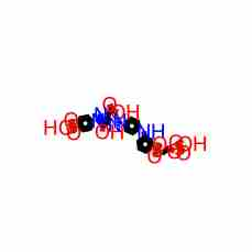 O=C(O)c1nn(-c2ccc(S(=O)(=O)O)cc2)c(O)c1/N=N/c1ccc(Nc2cccc(S(=O)(=O)CCOS(=O)(=O)O)c2)cc1